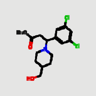 CC(C)COC(=O)CC(c1cc(Cl)cc(Cl)c1)N1CCC(CO)CC1